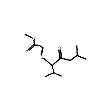 COC(=O)CSC(C(=O)CC(C)C)C(C)C